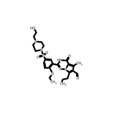 CCCc1c(C=O)c(C)c2c(=O)[nH]c(-c3cc(S(=O)(=O)N4CCN(CCO)CC4)ccc3OCC)nn12